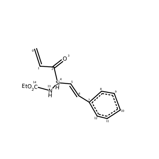 C=CC(=O)[SiH](C=Cc1ccccc1)NC(=O)OCC